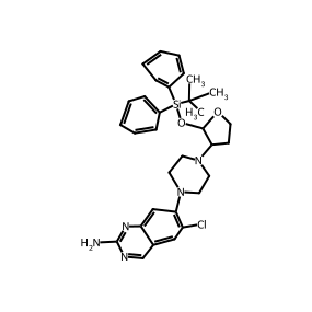 CC(C)(C)[Si](OC1OCCC1N1CCN(c2cc3nc(N)ncc3cc2Cl)CC1)(c1ccccc1)c1ccccc1